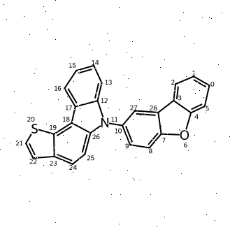 c1ccc2c(c1)oc1ccc(-n3c4ccccc4c4c5sccc5ccc43)cc12